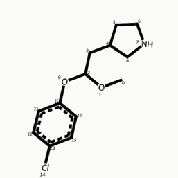 COC(CC1CCNC1)Oc1ccc(Cl)cc1